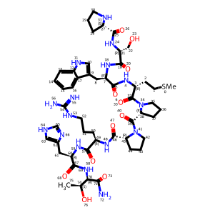 CSCC[C@@H](NC(=O)[C@@H](Cc1c[nH]c2ccccc12)NC(=O)[C@@H](CO)NC(=O)[C@@H]1CCCN1)C(=O)N1CCC[C@@H]1C(=O)N1CCC[C@@H]1C(=O)N[C@H](CCCNC(=N)N)C(=O)N[C@H](Cc1c[nH]cn1)C(=O)N[C@@H](C(N)=O)[C@H](C)O